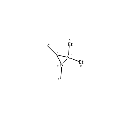 CCS1(CC)C(C)N1C